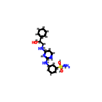 NS(=O)(=O)c1cccc(Nc2nccc(NCC(O)c3ccccc3)n2)c1